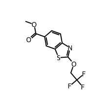 COC(=O)c1ccc2nc(OCC(F)(F)F)sc2c1